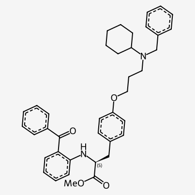 COC(=O)[C@H](Cc1ccc(OCCCN(Cc2ccccc2)C2CCCCC2)cc1)Nc1ccccc1C(=O)c1ccccc1